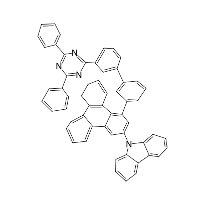 C1=Cc2c(c3ccccc3c3cc(-n4c5ccccc5c5ccccc54)cc(-c4cccc(-c5cccc(-c6nc(-c7ccccc7)nc(-c7ccccc7)n6)c5)c4)c23)CC1